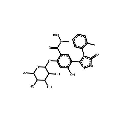 CCCCN(C)C(=O)c1cc(-c2n[nH]c(=O)n2-c2ccccc2C)c(O)cc1OC1OC(C(C)=O)C(O)C(O)C1O